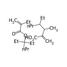 C=C(C(=O)O)C(C)C(CC)CCC.C=C(CC)C(=O)OC(CC)(CC)CCC